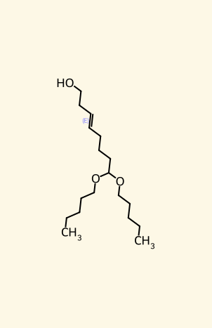 CCCCCOC(CCC/C=C/CCO)OCCCCC